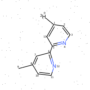 [2H]c1ccnc(-c2cc(C)ccn2)c1